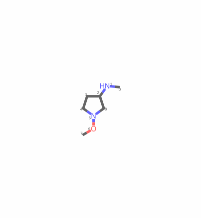 CNC1CCN(OC)C1